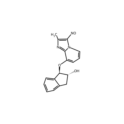 Cc1nc2c(O[C@@H]3c4ccccc4C[C@H]3O)cccn2c1N=O